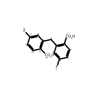 O=C(O)c1ccc(F)cc1Cc1cc(F)ccc1C(=O)O